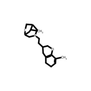 CC1=CCCC2=C1OCC(CCN1CC3CCC(C1)C(C)C3)C2